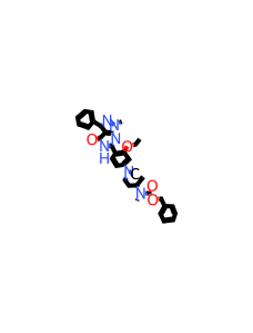 CCOc1cc(N2CCC(N(C)C(=O)OCc3ccccc3)CC2)ccc1-c1nc2c(c(-c3ccccc3)nn2C)c(=O)[nH]1